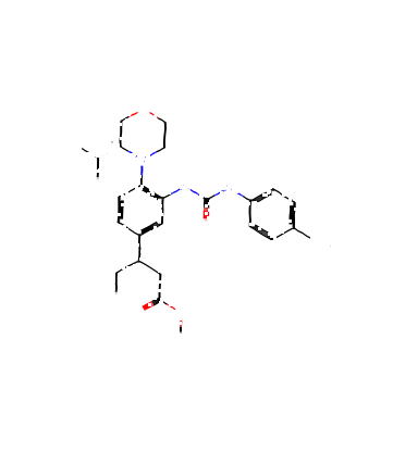 CCC(CC(=O)OC)c1ccc(N2CCOC[C@H]2C(C)C)c(NC(=O)Nc2ccc(C)cc2)c1